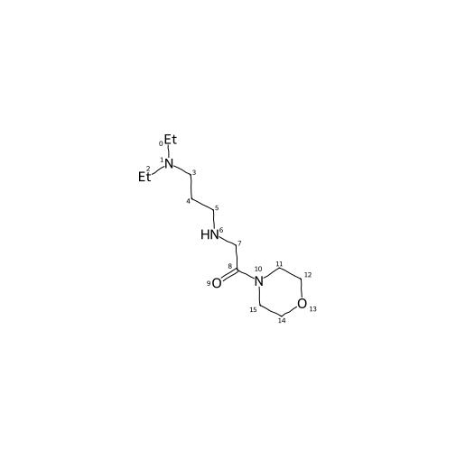 CCN(CC)CCCNCC(=O)N1CCOCC1